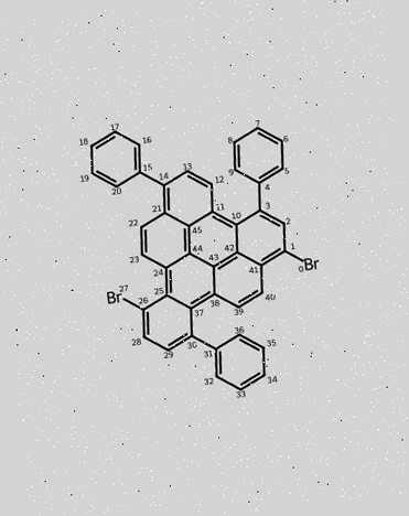 Brc1cc(-c2ccccc2)c2c3ccc(-c4ccccc4)c4ccc5c6c(Br)ccc(-c7ccccc7)c6c6ccc1c2c6c5c43